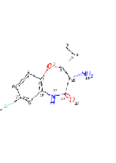 CC[C@H]1Oc2ccc(F)cc2NC(=O)[C@H]1N